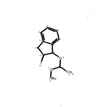 CCCCOC(C)OC1c2ccccc2CC1I